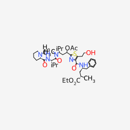 CCOC(=O)[C@@H](C)C[C@H](Cc1ccccc1)NC(=O)c1nc([C@@H](C[C@H](C(C)C)N(C)C(=O)[C@@H](NC(=O)[C@H]2CCCCN2C)C(C)C)OC(C)=O)sc1CCO